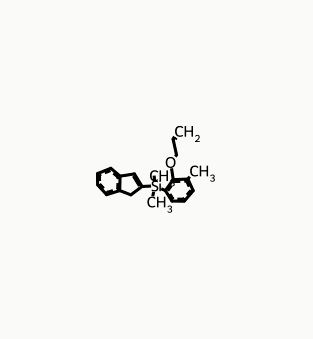 C=CCOc1c(C)cccc1[Si](C)(C)C1=Cc2ccccc2C1